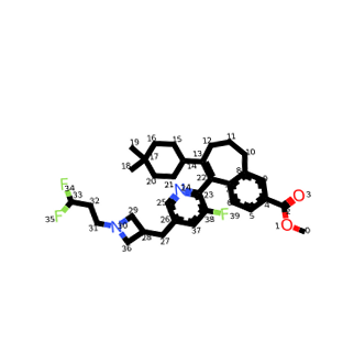 COC(=O)c1ccc2c(c1)CCCC(C1CCC(C)(C)CC1)=C2c1ncc(CC2CN(CCC(F)F)C2)cc1F